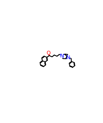 O=C(CCCCN1CC2CC1CN2Cc1ccccc1)c1ccc2ccccc2c1